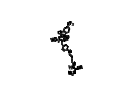 N=C(N)NOCCCOc1ccc(C[C@H](NS(=O)(=O)c2ccc(C(F)(F)F)cc2Cl)C(=O)O)cc1